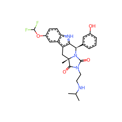 CC(C)NCCN1C(=O)N2[C@H](c3cccc(O)c3)c3[nH]c4ccc(OC(F)F)cc4c3C[C@@]2(C)C1=O